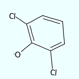 [O]c1c(Cl)cccc1Cl